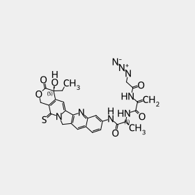 C=C(NC(=O)CN=[N+]=[N-])C(=O)N[C@@H](C)C(=O)Nc1ccc2cc3c(nc2c1)-c1cc2c(c(=S)n1C3)COC(=O)[C@]2(O)CC